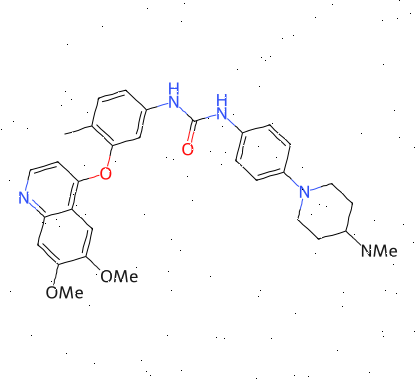 CNC1CCN(c2ccc(NC(=O)Nc3ccc(C)c(Oc4ccnc5cc(OC)c(OC)cc45)c3)cc2)CC1